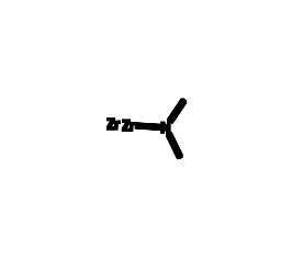 C[N](C)[Zr].[Zr]